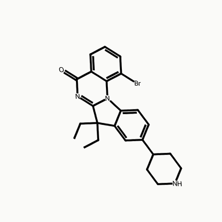 CCC1(CC)c2cc(C3CCNCC3)ccc2-n2c1nc(=O)c1cccc(Br)c12